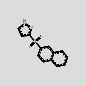 O=S(=O)(c1ccc2ccccc2c1)c1cc[nH]n1